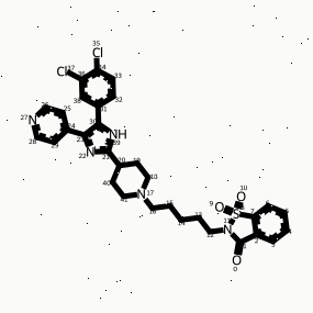 O=C1c2ccccc2S(=O)(=O)N1CCCCCN1CCC(c2nc(-c3ccncc3)c(-c3ccc(Cl)c(Cl)c3)[nH]2)CC1